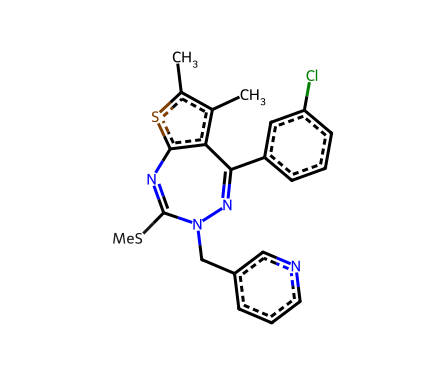 CSC1=Nc2sc(C)c(C)c2C(c2cccc(Cl)c2)=NN1Cc1cccnc1